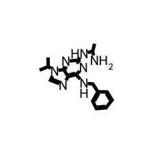 CC(N)Nc1nc(NCc2ccccc2)c2ncn(C(C)C)c2n1